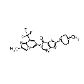 Cc1cn2cc(-n3cnc4nc(N5CCN(C)CC5)sc4c3=O)cc(C(F)(F)F)c2n1